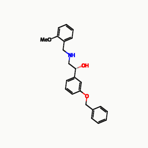 COc1ccccc1CNC[C@H](O)c1cccc(OCc2ccccc2)c1